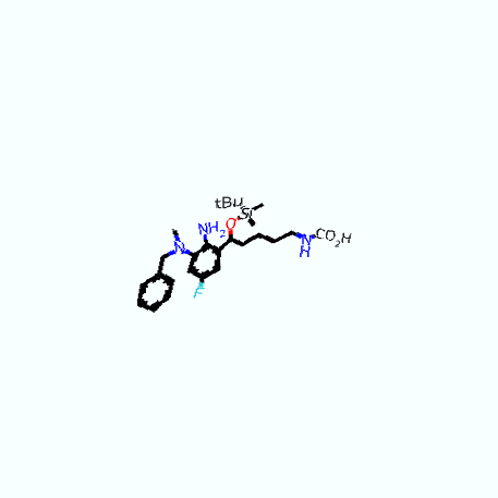 CN(Cc1ccccc1)c1cc(F)cc(C(CCCCNC(=O)O)O[Si](C)(C)C(C)(C)C)c1N